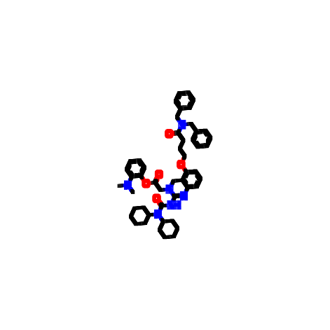 CN(C)c1ccccc1OC(=O)CN1Cc2c(cccc2OCCCC(=O)N(Cc2ccccc2)Cc2ccccc2)N=C1NC(=O)N(C1CCCCC1)C1CCCCC1